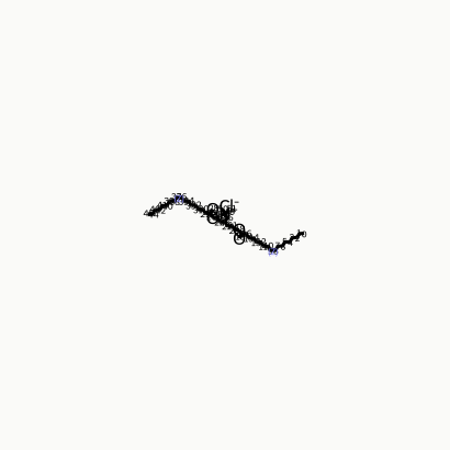 CCCCCCCC/C=C\CCCCCCCC(=O)OCCCC(CCOC(=O)CCCCCCC/C=C\CCCCCCCC)C[N+](C)(C)C.[Cl-]